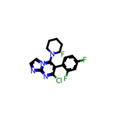 Fc1cc(F)c(-c2c(Cl)nc3nccn3c2N2CCCCC2)c(F)c1